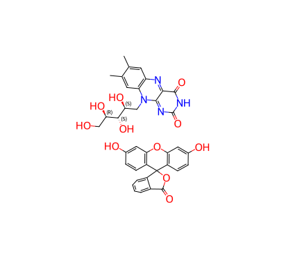 Cc1cc2nc3c(=O)[nH]c(=O)nc-3n(C[C@H](O)[C@H](O)[C@H](O)CO)c2cc1C.O=C1OC2(c3ccc(O)cc3Oc3cc(O)ccc32)c2ccccc21